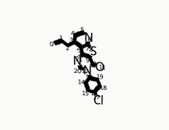 C=CCc1ccnc2sc3c(=O)n(-c4ccc(Cl)cc4)cnc3c12